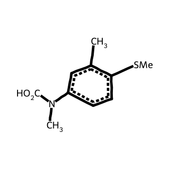 CSc1ccc(N(C)C(=O)O)cc1C